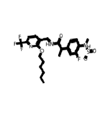 CCCCCCOc1nc(C(F)(F)F)ccc1CNC(=O)C(C)c1ccc(N(C)[SH](=O)=O)c(F)c1